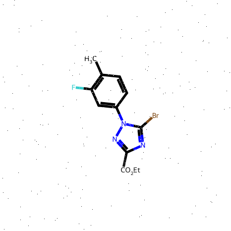 CCOC(=O)c1nc(Br)n(-c2ccc(C)c(F)c2)n1